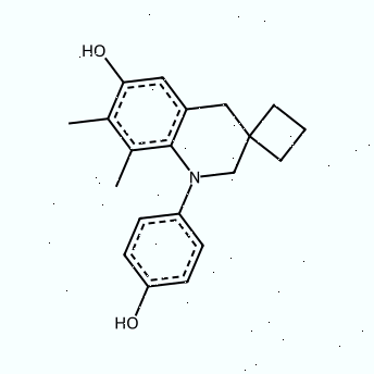 Cc1c(O)cc2c(c1C)N(c1ccc(O)cc1)CC1(CCC1)C2